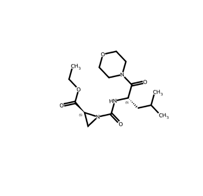 CCOC(=O)[C@@H]1CN1C(=O)N[C@@H](CC(C)C)C(=O)N1CCOCC1